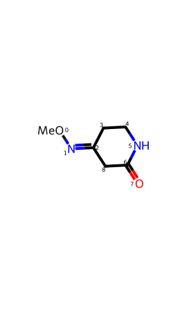 CON=C1CCNC(=O)C1